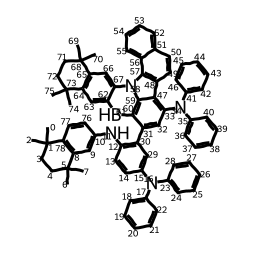 CC1(C)CCC(C)(C)c2cc(Nc3ccc(N(c4ccccc4)c4ccccc4)cc3-c3cc(N(c4ccccc4)c4ccccc4)c4c5ccc6ccccc6c5n5c4c3Bc3cc4c(cc3-5)C(C)(C)CCC4(C)C)ccc21